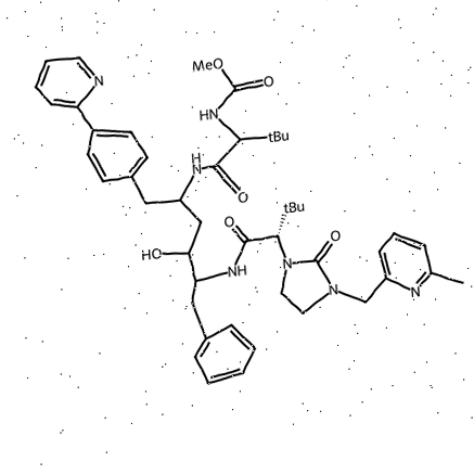 COC(=O)NC(C(=O)NC(Cc1ccc(-c2ccccn2)cc1)CC(O)C(Cc1ccccc1)NC(=O)[C@@H](N1CCN(Cc2cccc(C)n2)C1=O)C(C)(C)C)C(C)(C)C